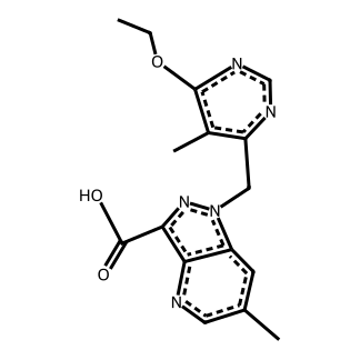 CCOc1ncnc(Cn2nc(C(=O)O)c3ncc(C)cc32)c1C